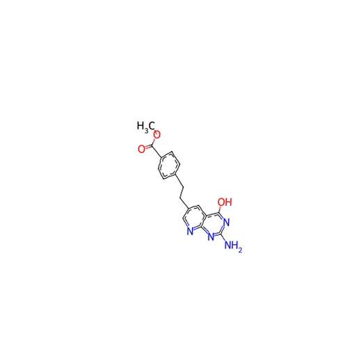 COC(=O)c1ccc(CCc2cnc3nc(N)nc(O)c3c2)cc1